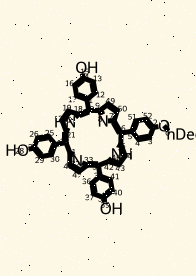 CCCCCCCCCCOc1ccc(-c2c3nc(c(-c4ccc(O)cc4)c4ccc([nH]4)c(-c4ccc(O)cc4)c4nc(c(-c5ccc(O)cc5)c5ccc2[nH]5)C=C4)C=C3)cc1